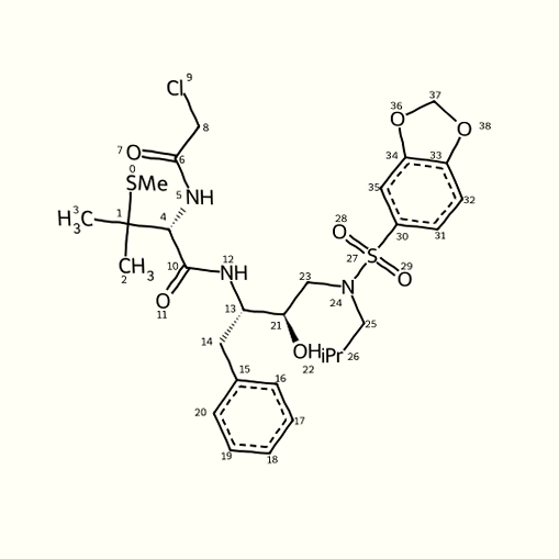 CSC(C)(C)[C@H](NC(=O)CCl)C(=O)N[C@@H](Cc1ccccc1)[C@H](O)CN(CC(C)C)S(=O)(=O)c1ccc2c(c1)OCO2